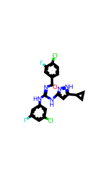 O=C(/N=C(/Nc1cc(F)cc(Cl)c1)Nc1cc(C2CC2)[nH]n1)c1ccc(Cl)c(F)c1